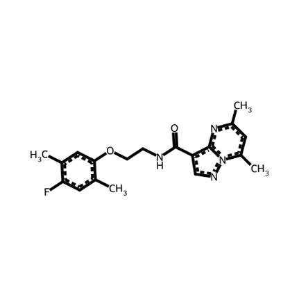 Cc1cc(C)n2ncc(C(=O)NCCOc3cc(C)c(F)cc3C)c2n1